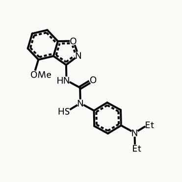 CCN(CC)c1ccc(N(S)C(=O)Nc2noc3cccc(OC)c23)cc1